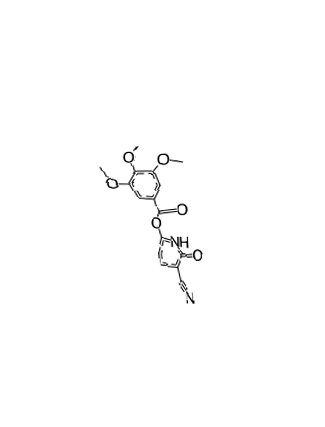 COc1cc(C(=O)Oc2ccc(C#N)c(=O)[nH]2)cc(OC)c1OC